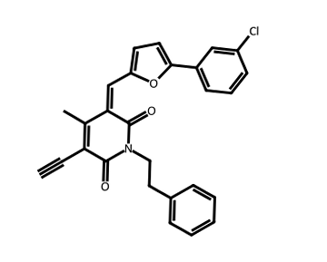 C#CC1=C(C)/C(=C/c2ccc(-c3cccc(Cl)c3)o2)C(=O)N(CCc2ccccc2)C1=O